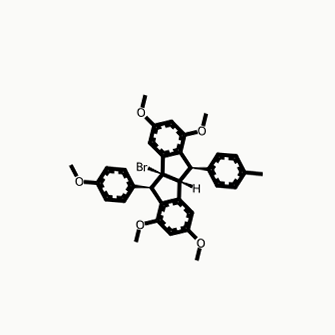 COc1ccc([C@@H]2c3c(OC)cc(OC)cc3[C@H]3[C@H](c4ccc(C)cc4)c4c(OC)cc(OC)cc4[C@@]23Br)cc1